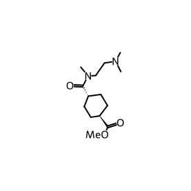 COC(=O)[C@H]1CC[C@H](C(=O)N(C)CCN(C)C)CC1